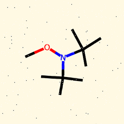 CON(C(C)(C)C)C(C)(C)C